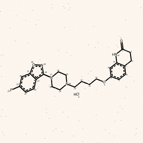 Cl.O=C1CCc2ccc(OCCCCN3CCN(c4noc5cc(F)ccc45)CC3)cc2N1